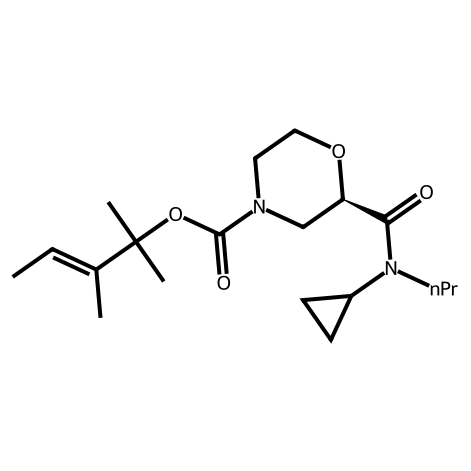 C/C=C(\C)C(C)(C)OC(=O)N1CCO[C@@H](C(=O)N(CCC)C2CC2)C1